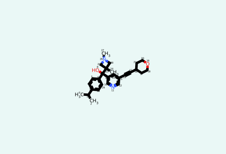 CC(C)c1ccc(C(O)(c2cncc(C#CC3CCOCC3)c2)C2(C)CN(C)C2)cc1